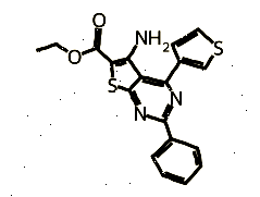 CCOC(=O)c1sc2nc(-c3ccccc3)nc(-c3ccsc3)c2c1N